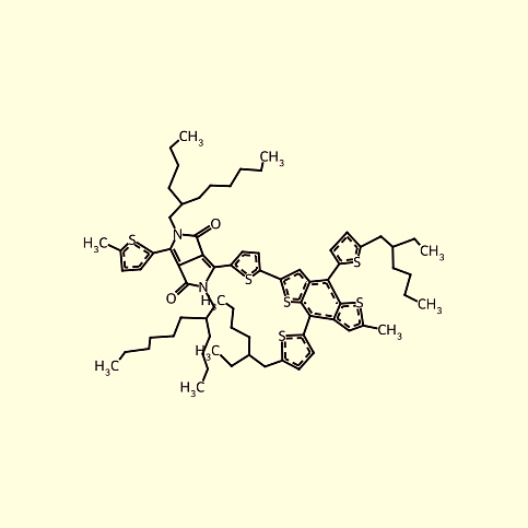 CCCCCCC(CCCC)CN1C(=O)C2=C(c3ccc(-c4cc5c(-c6ccc(CC(CC)CCCC)s6)c6sc(C)cc6c(-c6ccc(CC(CC)CCCC)s6)c5s4)s3)N(CC(CCCC)CCCCCC)C(=O)C2=C1c1ccc(C)s1